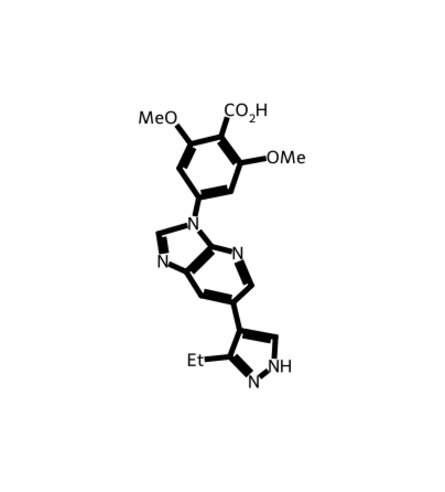 CCc1n[nH]cc1-c1cnc2c(c1)ncn2-c1cc(OC)c(C(=O)O)c(OC)c1